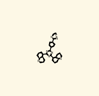 c1cnc(-c2ccc(-c3nc(-c4cccc5ncccc45)nc(-c4cccc5ncccc45)n3)cc2)nc1